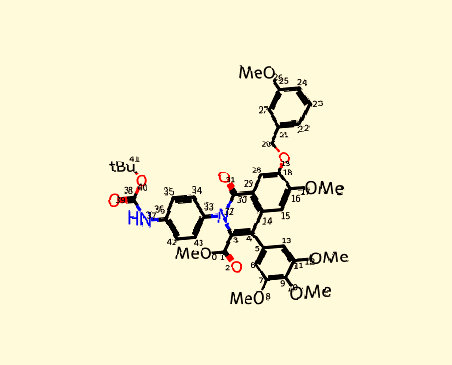 COC(=O)c1c(-c2cc(OC)c(OC)c(OC)c2)c2cc(OC)c(OCc3cccc(OC)c3)cc2c(=O)n1-c1ccc(NC(=O)OC(C)(C)C)cc1